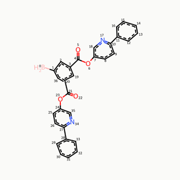 Bc1cc(C(=O)Oc2ccc(-c3ccccc3)nc2)cc(C(=O)Oc2ccc(-c3ccccc3)nc2)c1